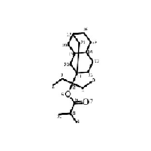 CCC(CC)(OC(=O)C(C)C)C12CCC3CCC(CC3C1)C2